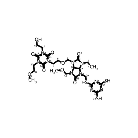 CCN1C(=O)N(COCCn2c(=O)n(CCO)c(=O)n(CCOC)c2=O)C2C1N(CSc1nc(S)nc(S)n1)C(=O)N2COC